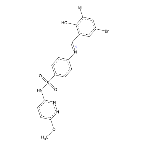 COc1ccc(NS(=O)(=O)c2ccc(/N=C/c3cc(Br)cc(Br)c3O)cc2)nn1